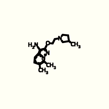 Cc1ccc2c(N)c(OCCN3CCC(C)C3)nn2c1C